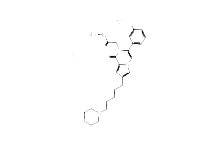 COc1cccc(-c2cn3cc(CCCCCN4CCCCC4)cc3c(=O)n2CC(=O)NC(C)C)c1.Cl